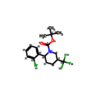 CC(C)(C)OC(=O)N1CC(C(F)(F)F)CCC1c1ccccc1Br